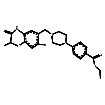 CCOC(=O)c1ccc(N2CCN(Cc3cc4c(cc3F)OC(C)C(=O)N4)CC2)cc1